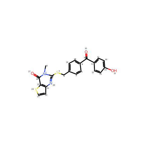 Cn1c(SCc2ccc(C(=O)c3ccc(O)cc3)cc2)nc2ccsc2c1=O